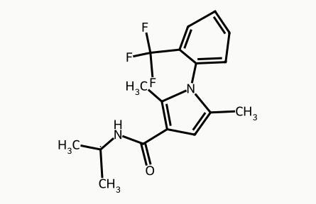 C[C](C)NC(=O)c1cc(C)n(-c2ccccc2C(F)(F)F)c1C